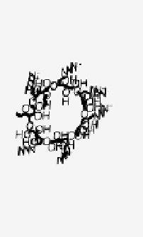 C=CCO/C1=C(/O)C(CCN=[N+]=[N-])OC2OC(CC)C(OC(O)/C(O)=C(\O)C(CCN=[N+]=[N-])OC(O)/C(O)=C(\O)C(CCN=[N+]=[N-])OC(O)C(O)C(O)C(CCN=[N+]=[N-])OC(O)/C(O)=C(/O)C(CCN=[N+]=[N-])OC(O)/C(O)=C(\O)C(CCN=[N+]=[N-])OC1O)C(O)C2O